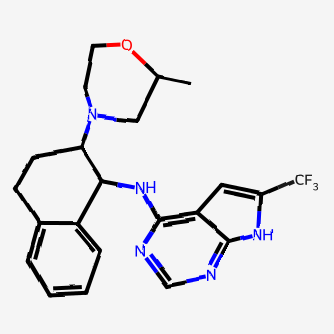 CC1CN(C2CCc3ccccc3C2Nc2ncnc3[nH]c(C(F)(F)F)cc23)CCO1